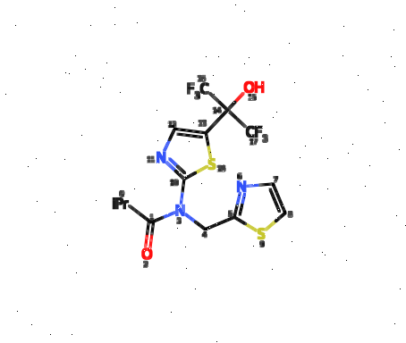 CC(C)C(=O)N(Cc1nccs1)c1ncc(C(O)(C(F)(F)F)C(F)(F)F)s1